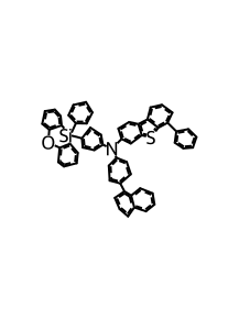 c1ccc(-c2cccc3c2sc2cc(N(c4ccc(-c5cccc6ccccc56)cc4)c4ccc([Si]5(c6ccccc6)c6ccccc6Oc6ccccc65)cc4)ccc23)cc1